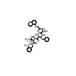 Cc1ccccc1CNC(=O)[C@H]1N(C(=O)[C@@H](O)[C@H](Cc2ccccc2)NC(=O)[C@@H](NC(=O)COc2cccc3ncccc23)C(C)C)CSC1(C)C